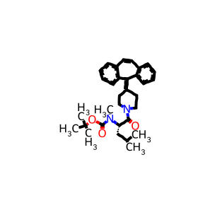 CC(C)C[C@@H](C(=O)N1CCC(=C2c3ccccc3C=Cc3ccccc32)CC1)N(C)C(=O)OC(C)(C)C